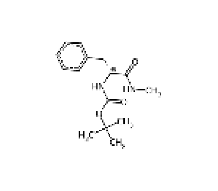 CNC(=O)[C@@H](Cc1ccccc1)NC(=O)OC(C)(C)C